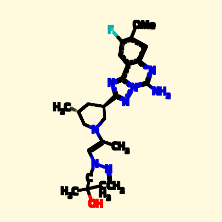 C=NN(/C=C(\C)N1C[C@H](C)C[C@@H](c2nc3c4cc(F)c(OC)cc4nc(N)n3n2)C1)CC(C)(C)O